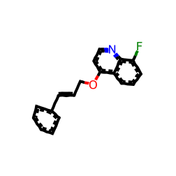 Fc1cccc2c(OCC=Cc3ccccc3)ccnc12